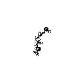 O=C(Nc1nnc(NCCCN2CCCC2=O)s1)c1ccc([N+](=O)[O-])o1